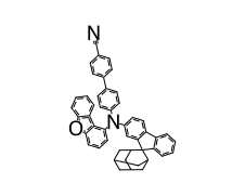 N#Cc1ccc(-c2ccc(N(c3ccc4c(c3)C3(c5ccccc5-4)C4CC5CC(C4)CC3C5)c3cccc4oc5ccccc5c34)cc2)cc1